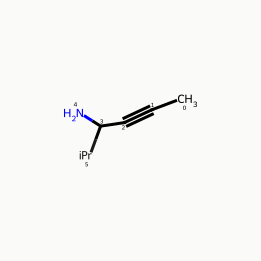 CC#CC(N)C(C)C